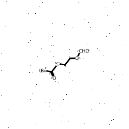 CC(C)(C)C(=O)OCCO[C]=O